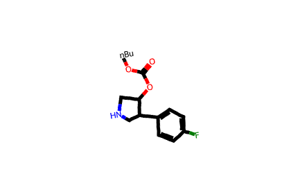 CCCCOC(=O)OC1CNCC1c1ccc(F)cc1